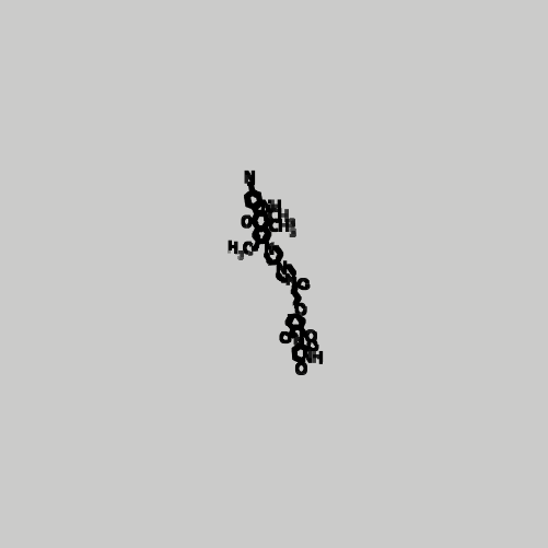 CCc1cc2c(cc1N1CCC(N3CCN(C(=O)CCCOc4ccc5c(c4)C(=O)N(C4CCC(=O)NC4=O)C5=O)CC3)CC1)C(C)(C)c1[nH]c3cc(C#N)ccc3c1C2=O